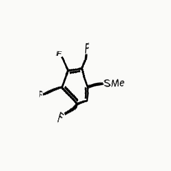 [CH2]Sc1cc(F)c(F)c(F)c1F